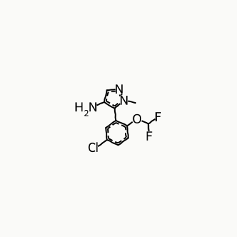 Cn1ncc(N)c1-c1cc(Cl)ccc1OC(F)F